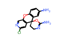 NC1=NCC[C@]2(O1)c1cc(N)ccc1Oc1cnc(Cl)cc12